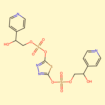 O=S(=O)(OCC(O)c1ccncc1)Oc1nnc(OS(=O)(=O)OCC(O)c2ccncc2)s1